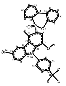 COc1cc(P2(=O)Oc3ccccc3-c3ccccc32)c(C)c2c3cc(Br)ccc3n(-c3ccc(C(C)(C)C)cc3)c12